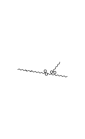 CCCCCC=CCC=CCCCCCCCC(=O)OCCC(CCCCCCCCCC)OC(=O)CCCCCCC